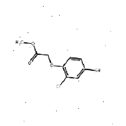 COC(=O)COc1ccc(S)cc1Cl